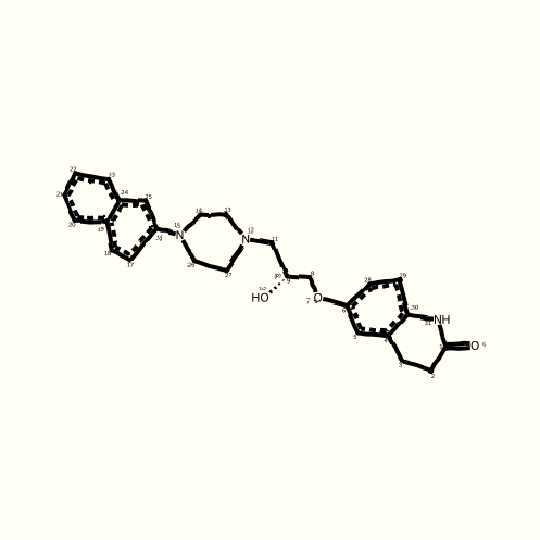 O=C1CCc2cc(OC[C@H](O)CN3CCN(c4ccc5ccccc5c4)CC3)ccc2N1